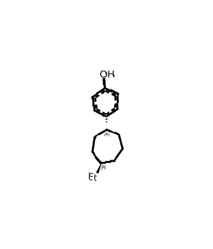 CC[C@@H]1CCC[C@@H](c2ccc(O)cc2)CC1